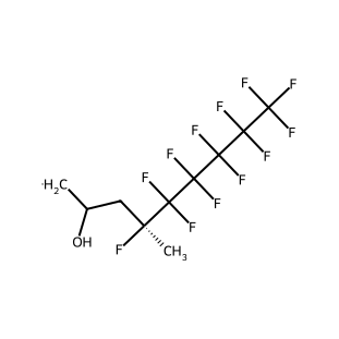 [CH2]C(O)C[C@](C)(F)C(F)(F)C(F)(F)C(F)(F)C(F)(F)C(F)(F)F